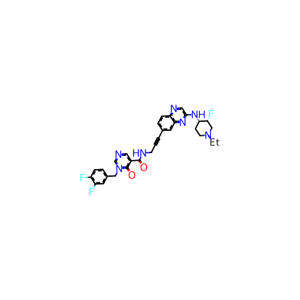 CCN1CC[C@H](Nc2cnc3ccc(C#CCNC(=O)c4cncn(Cc5ccc(F)c(F)c5)c4=O)cc3n2)[C@H](F)C1